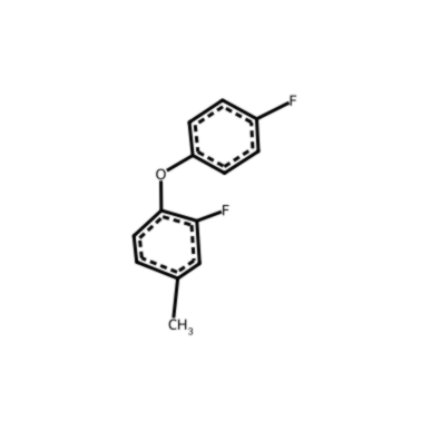 Cc1ccc(Oc2ccc(F)cc2)c(F)c1